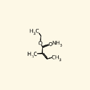 CC=C(C)C(=O)OCC.N